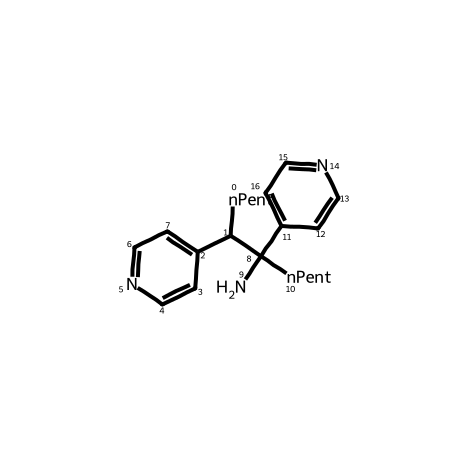 CCCCCC(c1ccncc1)C(N)(CCCCC)c1ccncc1